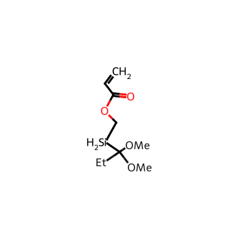 C=CC(=O)OC[SiH2]C(CC)(OC)OC